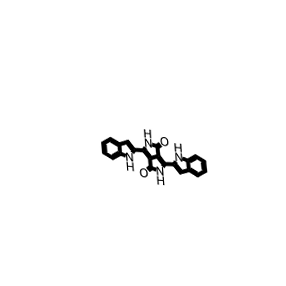 O=C1NC(c2cc3ccccc3[nH]2)=C2C(=O)NC(c3cc4ccccc4[nH]3)=C12